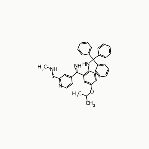 CNSc1cc(C(=N)c2cc(OC(C)C)ccc2NC(c2ccccc2)(c2ccccc2)c2ccccc2)ccn1